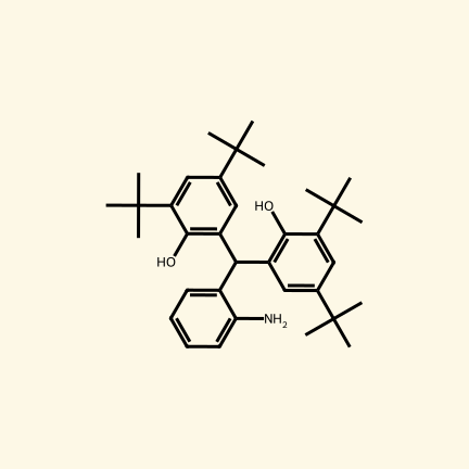 CC(C)(C)c1cc(C(c2ccccc2N)c2cc(C(C)(C)C)cc(C(C)(C)C)c2O)c(O)c(C(C)(C)C)c1